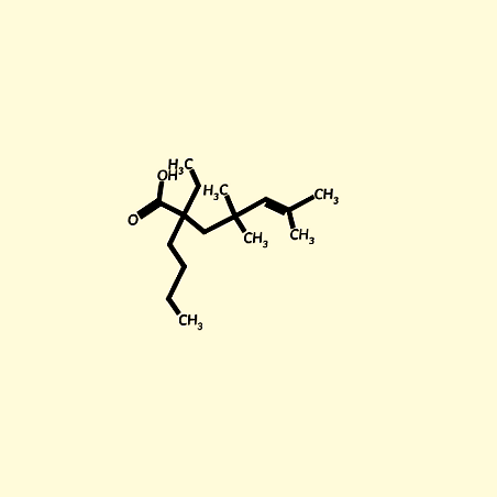 CCCCC(CC)(CC(C)(C)C=C(C)C)C(=O)O